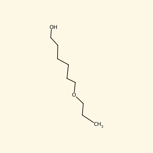 CCCOCCCCCCO